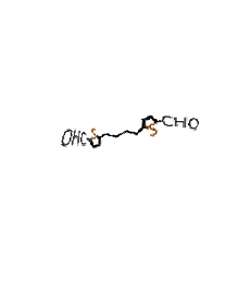 O=Cc1ccc(CCCCc2ccc(C=O)s2)s1